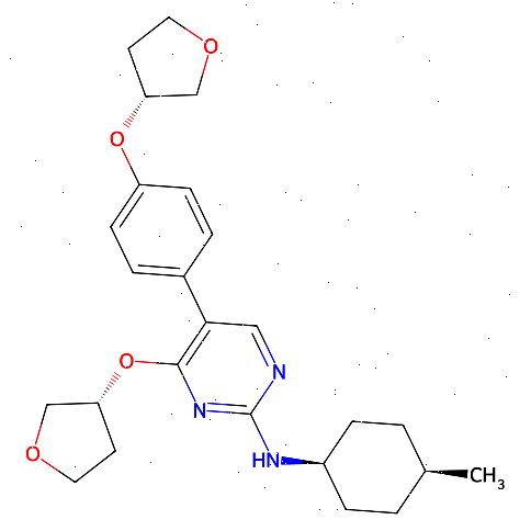 C[C@H]1CC[C@@H](Nc2ncc(-c3ccc(O[C@@H]4CCOC4)cc3)c(O[C@@H]3CCOC3)n2)CC1